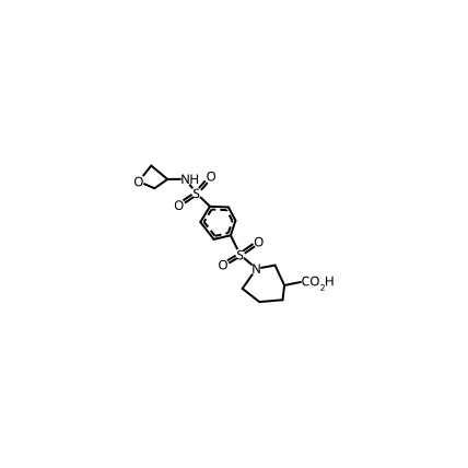 O=C(O)C1CCCN(S(=O)(=O)c2ccc(S(=O)(=O)NC3COC3)cc2)C1